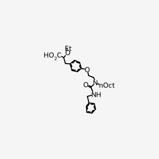 CCCCCCCCN(CCOc1ccc(CC(OCC)C(=O)O)cc1)C(=O)NCc1ccccc1